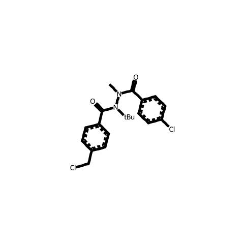 CN(C(=O)c1ccc(Cl)cc1)N(C(=O)c1ccc(CCl)cc1)C(C)(C)C